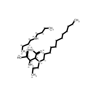 CCCCCCCCCCCCN(CCC)C(C(=O)O)C(N)C(=O)O.CCCCNCCCC